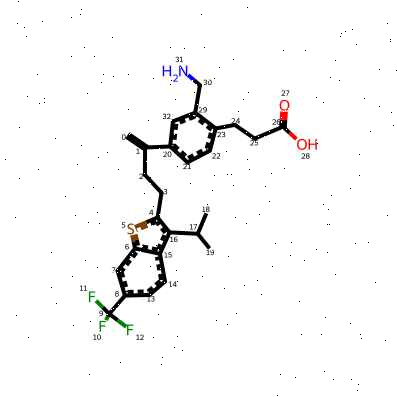 C=C(CCc1sc2cc(C(F)(F)F)ccc2c1C(C)C)c1ccc(CCC(=O)O)c(CN)c1